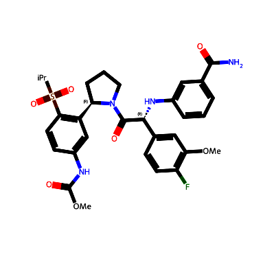 COC(=O)Nc1ccc(S(=O)(=O)C(C)C)c([C@H]2CCCN2C(=O)[C@H](Nc2cccc(C(N)=O)c2)c2ccc(F)c(OC)c2)c1